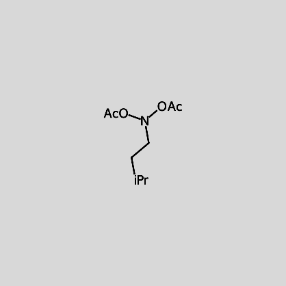 CC(=O)ON(CCC(C)C)OC(C)=O